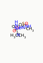 C[C@@H]1CNc2c(sc3ccc(C(=O)Nc4ccccc4NC(=O)C=CCN(C)C)cc23)C(=O)N1